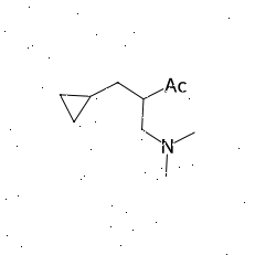 CC(=O)C(CC1CC1)CN(C)C